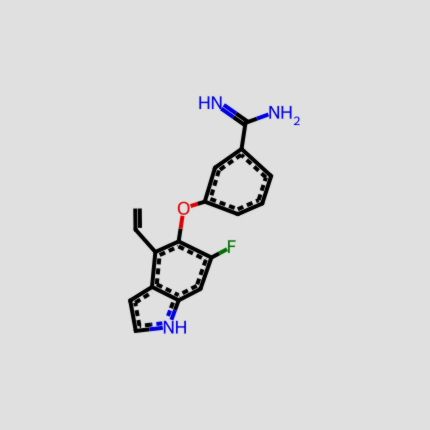 C=Cc1c(Oc2cccc(C(=N)N)c2)c(F)cc2[nH]ccc12